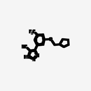 N#Cc1[nH]nnc1-c1cc(OCC2CCCC2)cc(C(F)(F)F)c1